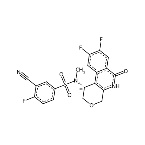 CN([C@H]1COCc2[nH]c(=O)c3cc(F)c(F)cc3c21)S(=O)(=O)c1ccc(F)c(C#N)c1